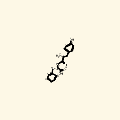 N[C@H](Cc1ccc(O)cc1)C(=O)N[C@@H](Cc1ccccc1)C(=O)O